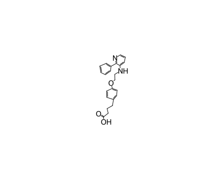 O=C(O)CCCc1ccc(OCCNc2cccnc2-c2ccccc2)cc1